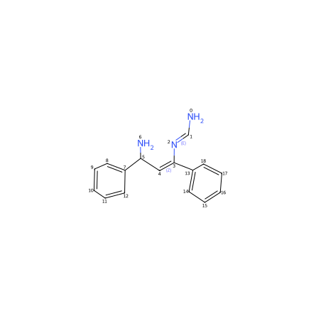 N/C=N/C(=C\C(N)c1ccccc1)c1ccccc1